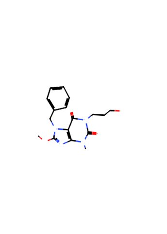 CC(C)Oc1nc2c(c(=O)n(CCCO)c(=O)n2C)n1Cc1ccccc1